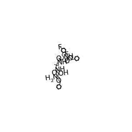 CC(C)(CNC(=O)CC(Cc1cc(F)ccc1F)NC(=O)OCc1ccccc1)CNC(=O)C(O)[C@H](N)COCc1ccccc1